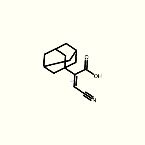 N#C/C=C(\C(=O)O)C12CC3CC(CC(C3)C1)C2